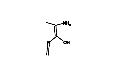 C=N/C(O)=C(\C)N